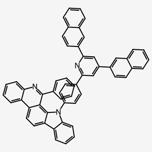 c1ccc(-c2nc3ccccc3c3ccc4c5ccccc5n(-c5ccc(-c6cc(-c7ccc8ccccc8c7)cc(-c7ccc8ccccc8c7)n6)cc5)c4c23)cc1